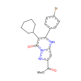 COC(=O)c1cc2[nH]c(-c3ccc(Br)cc3)c(C3CCCCC3)c(=O)n2n1